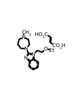 CCOCCn1c(N2CCCN(C)CC2)nc2ccccc21.O=C(O)C=CC(=O)O